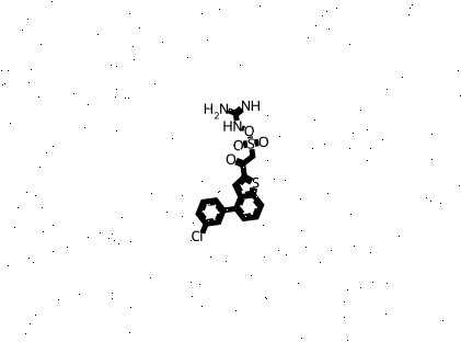 N=C(N)NOS(=O)(=O)CC(=O)c1cc2c(-c3cccc(Cl)c3)cccc2s1